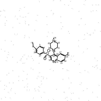 CCc1ccc(S(=O)(=O)c2cnc3ccc(F)cc3c2N2CCN(C)CC2)cc1